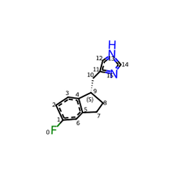 Fc1ccc2c(c1)CC[C@H]2Cc1c[nH]cn1